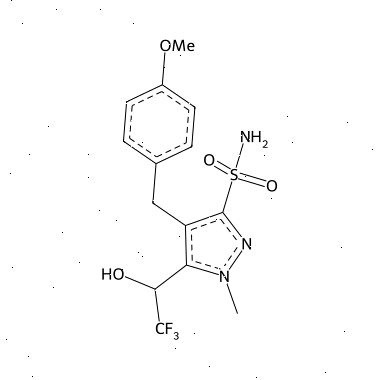 COc1ccc(Cc2c(S(N)(=O)=O)nn(C)c2C(O)C(F)(F)F)cc1